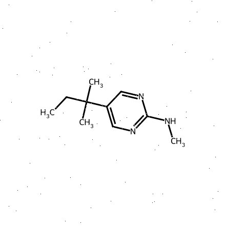 CCC(C)(C)c1cnc(NC)nc1